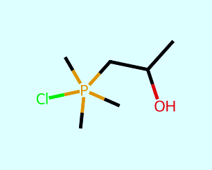 CC(O)CP(C)(C)(C)Cl